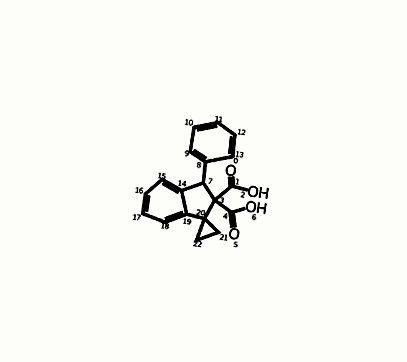 O=C(O)C1(C(=O)O)C(c2ccccc2)c2ccccc2C12CC2